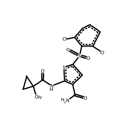 NC(=O)c1cc(S(=O)(=O)c2c(Cl)cccc2Cl)sc1NC(=O)C1(O)CC1